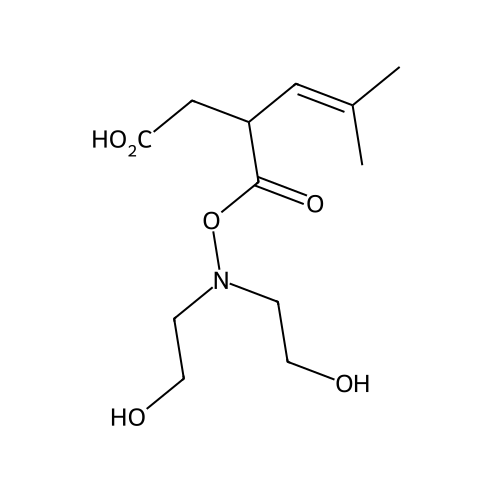 CC(C)=CC(CC(=O)O)C(=O)ON(CCO)CCO